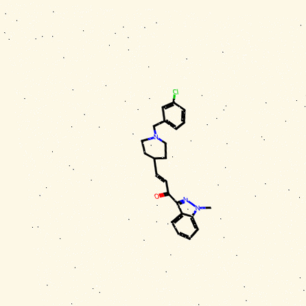 Cn1nc(C(=O)C=CC2CCN(Cc3cccc(Cl)c3)CC2)c2ccccc21